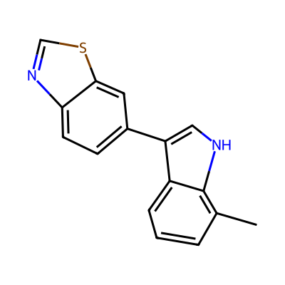 Cc1cccc2c(-c3ccc4ncsc4c3)c[nH]c12